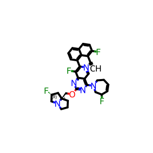 C#Cc1c(F)ccc2cccc(-c3ncc4c(N5CCC=CC(F)C5)nc(OC[C@@]56CCCN5C[C@H](F)C6)nc4c3F)c12